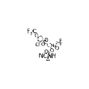 N#CC1(NC(=O)O[C@H]2C[C@@H](S(=O)(=O)c3ccc(OCC(F)(F)F)cc3Cl)CN2C(=O)C2CC2(F)F)CC1